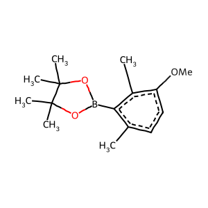 COc1ccc(C)c(B2OC(C)(C)C(C)(C)O2)c1C